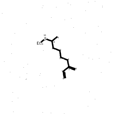 C=CC(=C)CCCCC(C)SCC